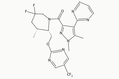 Cc1c(-c2ncccn2)c(C(=O)N2CC(F)(F)C[C@@H](C)[C@H]2COc2ncc(C(F)(F)F)cn2)nn1C